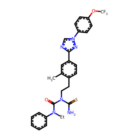 CCN(C(=O)N(CCc1ccc(-c2ncn(-c3ccc(OC(F)(F)F)cc3)n2)cc1C)C(N)=S)c1ccccc1